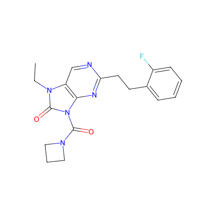 CCn1c(=O)n(C(=O)N2CCC2)c2nc(CCc3ccccc3F)ncc21